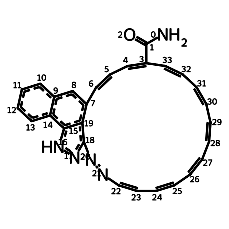 NC(=O)C1=CC=Cc2cc3ccccc3c3[nH]nc(c23)N=NC=CC=CC=CC=CC=CC=C1